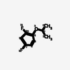 CC(C)Oc1ccc(F)cc1F